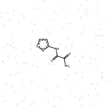 NC(=O)C(=O)Nc1ccon1